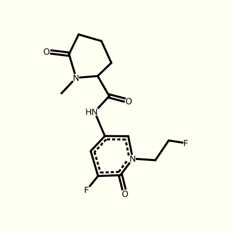 CN1C(=O)CCCC1C(=O)Nc1cc(F)c(=O)n(CCF)c1